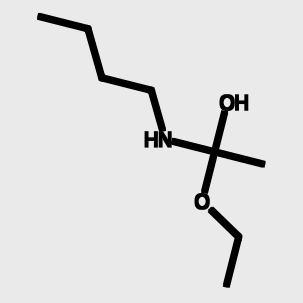 CCCCNC(C)(O)OCC